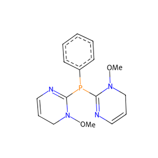 CON1CC=CN=C1P(C1=NC=CCN1OC)c1ccccc1